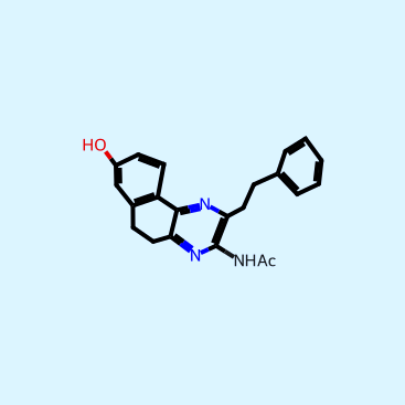 CC(=O)Nc1nc2c(nc1CCc1ccccc1)-c1ccc(O)cc1CC2